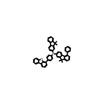 CC1(C)c2ccccc2-c2ccc(N(c3ccc(-c4cccc5c4oc4ccccc45)cc3)c3ccc4c(c3)C(C)(C)c3cccc(-c5ccccc5)c3-4)cc21